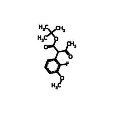 COc1cccc(C(C(C)=O)C(=O)OC(C)(C)C)c1F